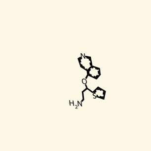 NCCC(Oc1cccc2cnccc12)c1cccs1